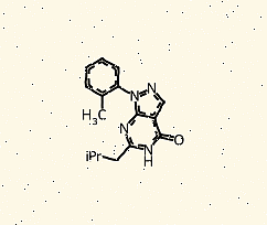 Cc1ccccc1-n1ncc2c(=O)[nH]c(CC(C)C)nc21